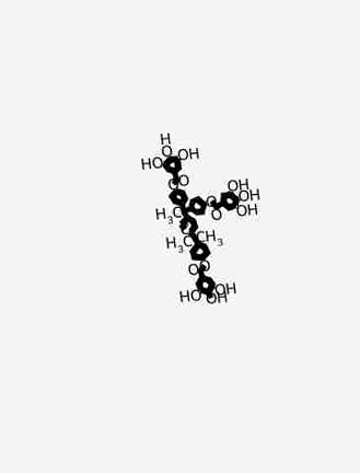 CC(C)(c1ccc(OC(=O)c2cc(O)c(O)c(O)c2)cc1)c1ccc(C(C)(c2ccc(OC(=O)c3cc(O)c(O)c(O)c3)cc2)C2C=CC(OC(=O)c3cc(O)c(O)c(O)c3)=CC2)cc1